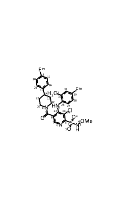 CONS(=O)(=O)c1ncc(C(=O)N2CCC(c3ccc(F)cc3)CC2)c(Nc2ccc(F)cc2C)c1Cl